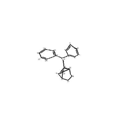 C1=C(P(c2ccccc2)c2ccccc2)C2CCC1C2